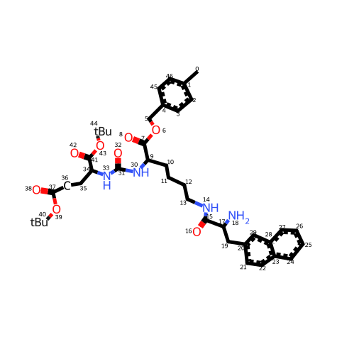 Cc1ccc(COC(=O)C(CCCCNC(=O)C(N)Cc2ccc3ccccc3c2)NC(=O)NC(CCC(=O)OC(C)(C)C)C(=O)OC(C)(C)C)cc1